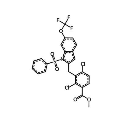 COC(=O)c1ccc(Cl)c(Cc2cc3ccc(OC(F)(F)F)cc3n2S(=O)(=O)c2ccccc2)c1Cl